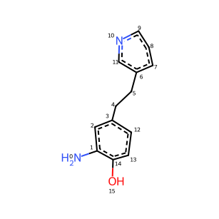 Nc1cc(CCc2cccnc2)ccc1O